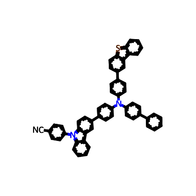 N#Cc1ccc(-n2c3ccccc3c3cc(-c4ccc(N(c5ccc(-c6ccccc6)cc5)c5ccc(-c6ccc7sc8ccccc8c7c6)cc5)cc4)ccc32)cc1